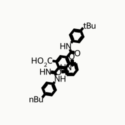 CCCCc1ccc(NC(=N)c2c(C(=O)O)cc(C(=O)Nc3ccc(C(C)(C)C)cc3)c3c4ccc(c(=O)[nH]c4=O)c23)cc1